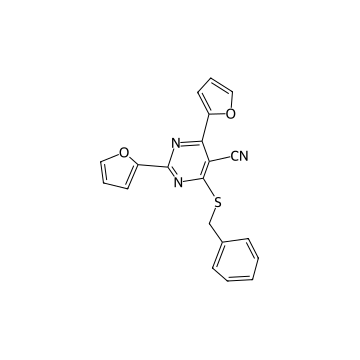 N#Cc1c(SCc2ccccc2)nc(-c2ccco2)nc1-c1ccco1